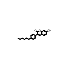 CCCCCCc1ccc(-c2cc3ccc(O)cc3oc2=O)cc1